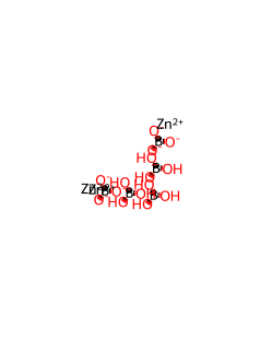 OB(O)O.OB(O)O.OB(O)O.[O-]B([O-])[O-].[O-]B([O-])[O-].[Zn+2].[Zn+2].[Zn+2]